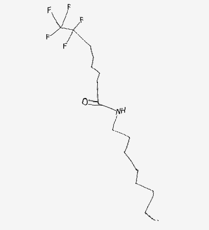 [CH2]CCCCCCCNC(=O)CCCC(F)(F)C(F)(F)F